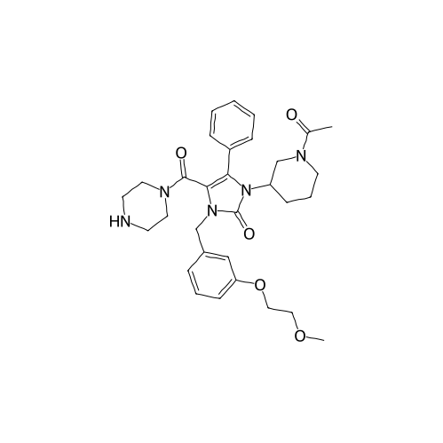 COCCOc1cccc(Cn2c(C(=O)N3CCNCC3)c(-c3ccccc3)n(C3CCCN(C(C)=O)C3)c2=O)c1